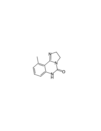 Cc1cccc2c1C1=NCCN1C(=O)N2